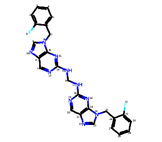 Fc1ccccc1Cn1cnc2cnc(NCNc3ncc4ncn(Cc5ccccc5F)c4n3)nc21